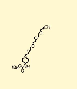 C#CCOCCOCCOCCOCCN1CCC(NC(=O)OC(C)(C)C)CC1